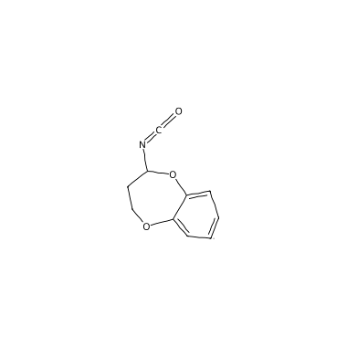 O=C=NC1CCOc2c[c]ccc2O1